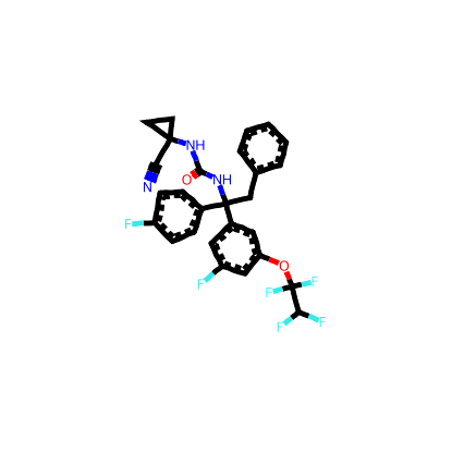 N#CC1(NC(=O)NC(Cc2ccccc2)(c2ccc(F)cc2)c2cc(F)cc(OC(F)(F)C(F)F)c2)CC1